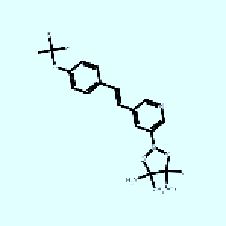 CC1(C)OB(c2cncc(C=Cc3ccc(OC(F)(F)F)cc3)c2)OC1(C)N